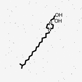 CC(C)CCCCCCCCCCCCCCCN1CCN(CC(O)CO)CC1